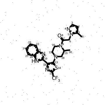 Cc1ccnn1CC(=O)N1CCN(c2sc(C(F)(F)F)nc2-c2nc3ccccc3[nH]2)CC1C